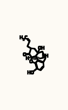 C=CCC1CC2(O)C3Cc4ccc(O)c5c4[C@@]2(CCN3)[C@@H](O5)C1=O